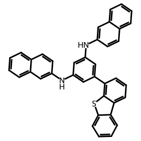 c1ccc2cc(Nc3cc(Nc4ccc5ccccc5c4)cc(-c4cccc5c4sc4ccccc45)c3)ccc2c1